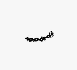 Cc1cc(-c2ccc(N3CCN(CC(C)C)CC3)cc2)cn2cc(-c3ccc(S(C)(=O)=O)cc3)nc12